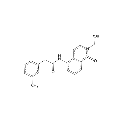 Cc1cccc(CC(=O)Nc2cccc3c(=O)n(CC(C)(C)C)ccc23)c1